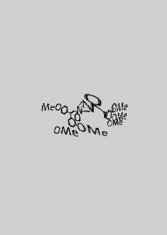 COc1ccc(/C(=C/C(=O)N2CCN(C(=O)c3cc(OC)c(OC)c(OC)c3)CC2)c2ccc(OC)c(OC)c2)cc1